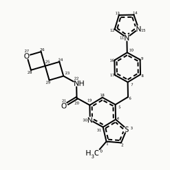 Cc1csc2c(Cc3ccc(-n4cccn4)cc3)cc(C(=O)NC3CC4(COC4)C3)nc12